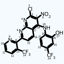 O=[N+]([O-])c1c(Cl)nc2nc(-c3ncccc3C(F)(F)F)ccc2c1Nc1ccc(C(F)(F)F)cc1O